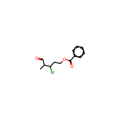 CC(C=O)C(Br)CCOC(=O)c1ccccc1